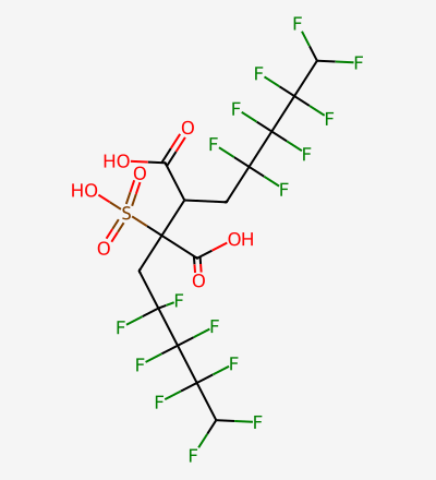 O=C(O)C(CC(F)(F)C(F)(F)C(F)(F)C(F)F)C(CC(F)(F)C(F)(F)C(F)(F)C(F)F)(C(=O)O)S(=O)(=O)O